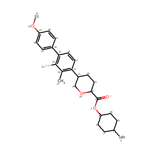 CCCC1CCC(OC(=O)C2CCC(c3ccc(-c4ccc(OCC)cc4)c(F)c3C)CO2)CC1